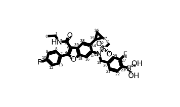 CCNC(=O)c1c(-c2ccc(F)cc2)oc2cc(N(Cc3ccc(B(O)O)c(F)c3)S(C)(=O)=O)c(C3CC3)cc12